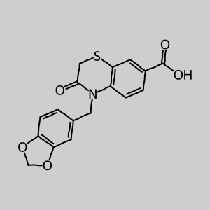 O=C(O)c1ccc2c(c1)SCC(=O)N2Cc1ccc2c(c1)OCO2